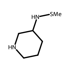 CSNC1CCCNC1